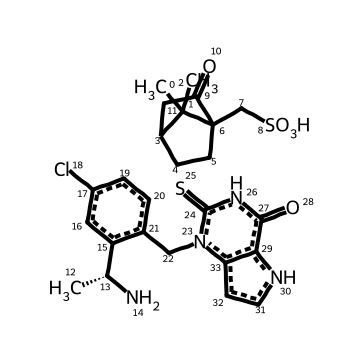 CC1(C)C2CCC1(CS(=O)(=O)O)C(=O)C2.C[C@@H](N)c1cc(Cl)ccc1Cn1c(=S)[nH]c(=O)c2[nH]ccc21